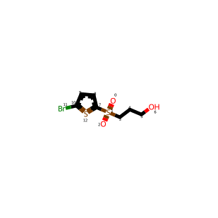 O=S(=O)(CCCO)c1ccc(Br)s1